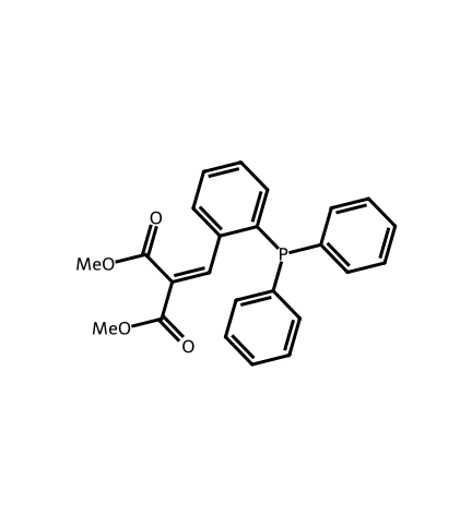 COC(=O)C(=Cc1ccccc1P(c1ccccc1)c1ccccc1)C(=O)OC